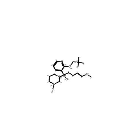 COCCCC[C@@](O)(c1ccccc1OCC(C)(C)C)[C@@H]1CCCN(Cl)C1